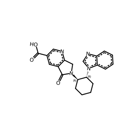 O=C(O)c1cnc2c(c1)C(=O)N([C@@H]1CCCC[C@H]1n1cnc3ccccc31)C2